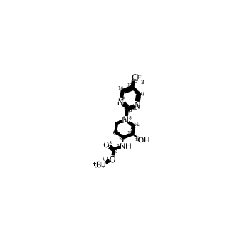 CC(C)(C)OC(=O)N[C@@H]1CCN(c2ncc(C(F)(F)F)cn2)C[C@H]1O